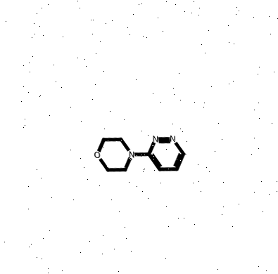 [c]1ccc(N2CCOCC2)nn1